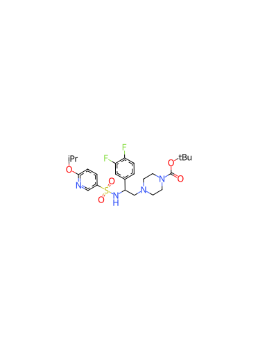 CC(C)Oc1ccc(S(=O)(=O)NC(CN2CCN(C(=O)OC(C)(C)C)CC2)c2ccc(F)c(F)c2)cn1